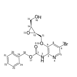 O=C(Nc1ncc(Br)cc1OC[C@H]1O[C@H]1CO)OCc1ccccc1